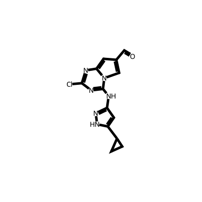 O=Cc1cc2nc(Cl)nc(Nc3cc(C4CC4)[nH]n3)n2c1